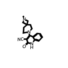 CN1CC2(CCN(c3c(C#N)c(=O)[nH]c4ccccc34)CC2)C1